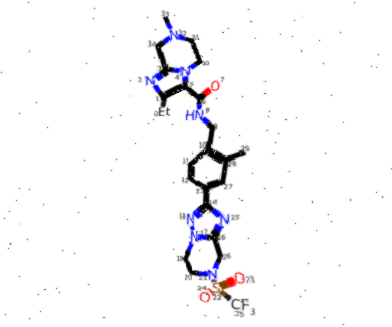 CCc1nc2n(c1C(=O)NCc1ccc(-c3nc4n(n3)CCN(S(=O)(=O)C(F)(F)F)C4)cc1C)CCN(C)C2